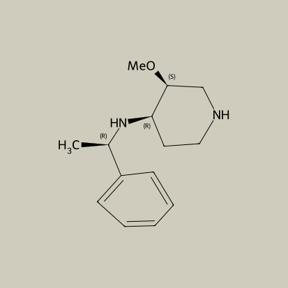 CO[C@H]1CNCC[C@H]1N[C@H](C)c1ccccc1